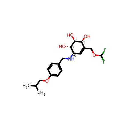 CC(C)COc1ccc(CN[C@@H]2C=C(COC(F)F)[C@H](O)[C@H](O)[C@H]2O)cc1